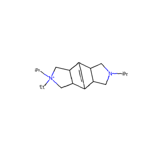 CC[N+]1(C(C)C)CC2C3C=CC(C4CN(C(C)C)CC34)C2C1